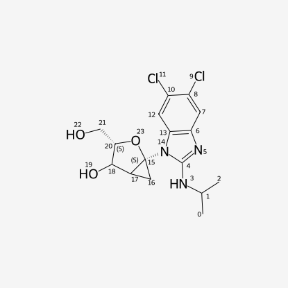 CC(C)Nc1nc2cc(Cl)c(Cl)cc2n1[C@]12CC1C(O)[C@H](CO)O2